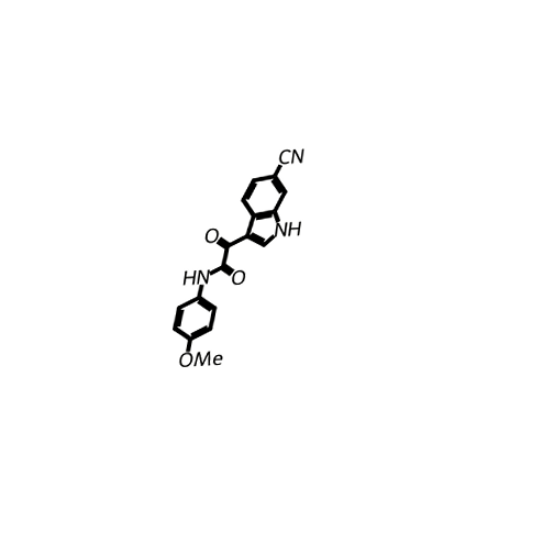 COc1ccc(NC(=O)C(=O)c2c[nH]c3cc(C#N)ccc23)cc1